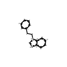 [c]1ccc(CCn2cnc3ccccc32)cc1